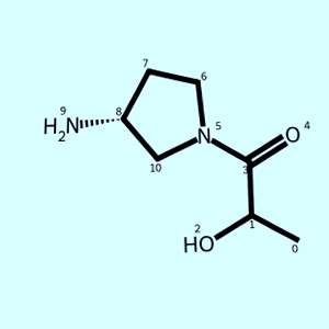 CC(O)C(=O)N1CC[C@@H](N)C1